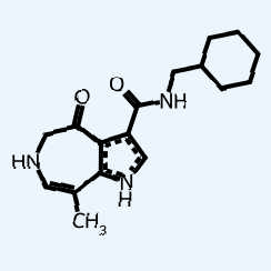 CC1=CNCC(=O)c2c(C(=O)NCC3CCCCC3)c[nH]c21